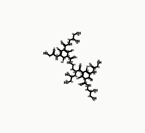 O=C(CO)NC1=C(I)C(C(=O)NCC(O)CO)=C(I)C(C(=O)NCCN(CC(O)CO)C(=O)C2=C(I)C(C(=O)NCC(O)CO)C(I)C(NC(=O)CO)=C2I)C1I